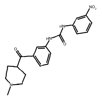 CN1CCC(C(=O)c2cccc(NC(=O)Nc3cccc([N+](=O)[O-])c3)c2)CC1